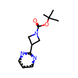 CC(C)(C)OC(=O)N1CC(c2ncccn2)C1